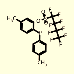 Cc1ccc([I+]c2ccc(C)cc2)cc1.O=S(=O)([O-])C(F)(F)C(F)(F)C(F)(F)C(F)(F)F